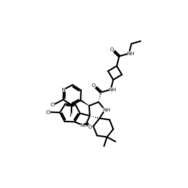 CCNC(=O)C1CC(NC(=O)[C@@H]2NC3(CCC(C)(C)CC3)[C@@]3(C(=O)Nc4cc(Cl)ccc43)[C@H]2c2ccnc(Cl)c2F)C1